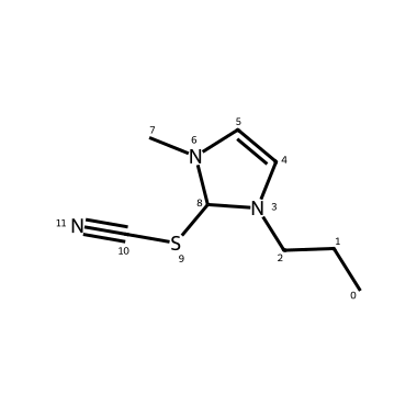 CCCN1C=CN(C)C1SC#N